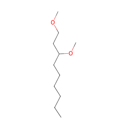 CCCCCCC(CCOC)OC